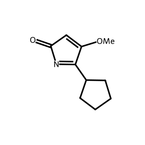 COC1=CC(=O)N=C1C1CCCC1